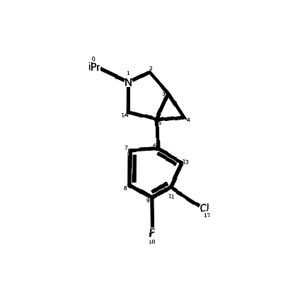 CC(C)N1CC2CC2(c2ccc(F)c(Cl)c2)C1